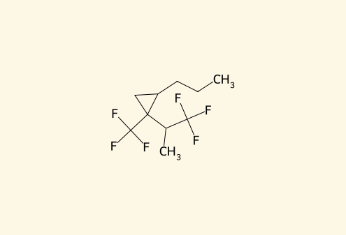 CCCC1CC1(C(C)C(F)(F)F)C(F)(F)F